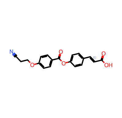 N#CCCOc1ccc(C(=O)Oc2ccc(/C=C/C(=O)O)cc2)cc1